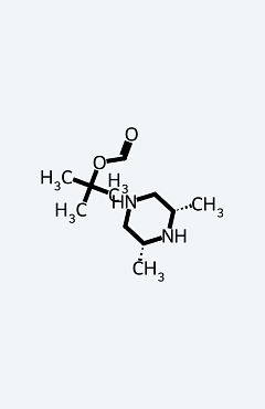 CC(C)(C)OC=O.C[C@@H]1CNC[C@H](C)N1